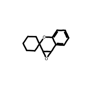 c1ccc2c(c1)OC1(CCCCC1)C1OC21